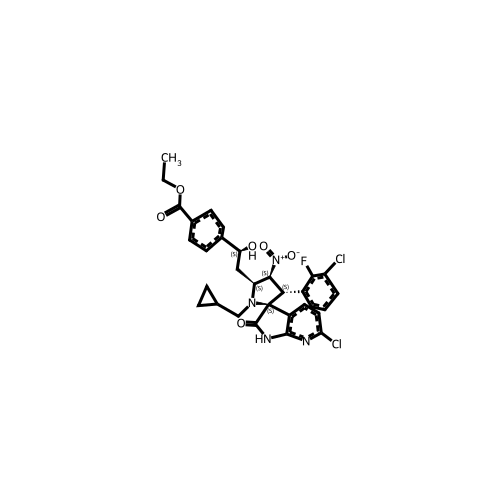 CCOC(=O)c1ccc([C@@H](O)C[C@H]2[C@@H]([N+](=O)[O-])[C@H](c3cccc(Cl)c3F)[C@]3(C(=O)Nc4nc(Cl)ccc43)N2CC2CC2)cc1